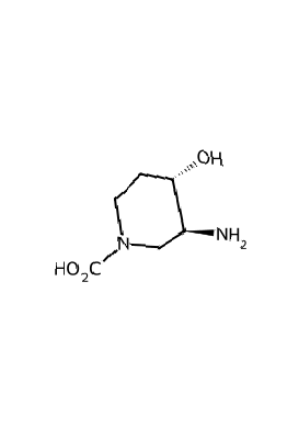 N[C@H]1CN(C(=O)O)CC[C@@H]1O